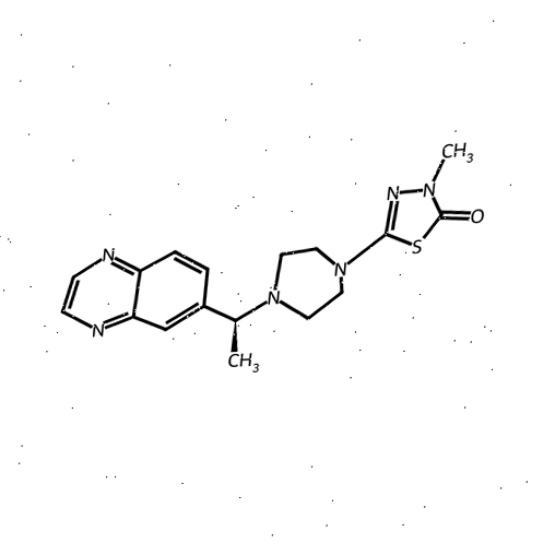 C[C@@H](c1ccc2nccnc2c1)N1CCN(c2nn(C)c(=O)s2)CC1